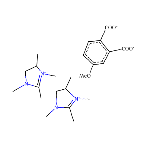 CC1=[N+](C)C(C)CN1C.CC1=[N+](C)C(C)CN1C.COc1ccc(C(=O)[O-])c(C(=O)[O-])c1